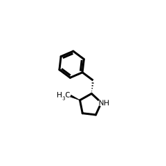 C[C@@H]1CCN[C@H]1Cc1ccccc1